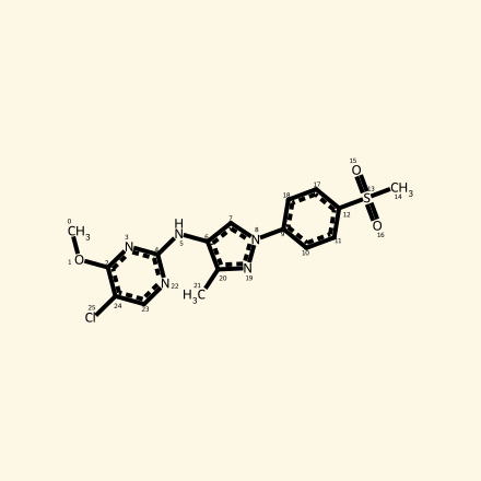 COc1nc(Nc2cn(-c3ccc(S(C)(=O)=O)cc3)nc2C)ncc1Cl